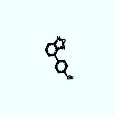 CC(C)(C)c1ccc(-c2cccc3nonc23)cc1